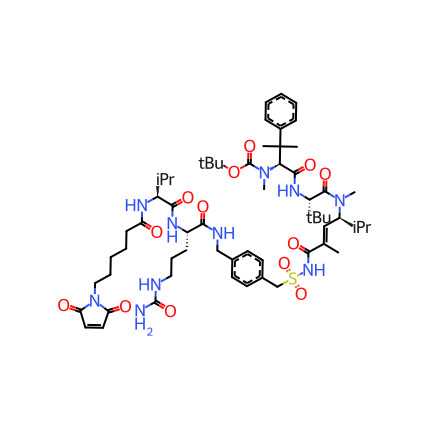 C/C(=C\[C@H](C(C)C)N(C)C(=O)[C@@H](NC(=O)[C@@H](N(C)C(=O)OC(C)(C)C)C(C)(C)c1ccccc1)C(C)(C)C)C(=O)NS(=O)(=O)Cc1ccc(CNC(=O)[C@H](CCCNC(N)=O)NC(=O)[C@@H](NC(=O)CCCCCN2C(=O)C=CC2=O)C(C)C)cc1